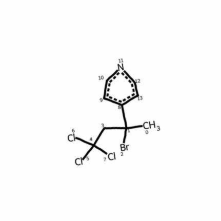 CC(Br)(CC(Cl)(Cl)Cl)c1ccncc1